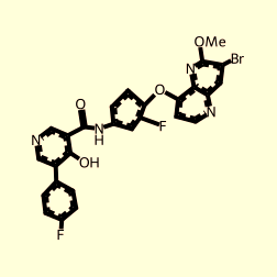 COc1nc2c(Oc3ccc(NC(=O)c4cncc(-c5ccc(F)cc5)c4O)cc3F)ccnc2cc1Br